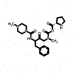 CN1CCN(C(=O)NC(Cc2ccccc2)C(=O)CN(C)C(=O)OC(=O)[C@@H]2CCCN2)CC1